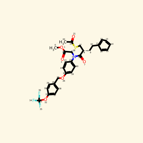 COC(=O)CN(C(=O)[C@@H](CCc1ccccc1)CSC(C)=O)c1ccc(OCc2ccc(OC(F)(F)F)cc2)cc1